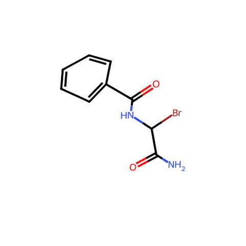 NC(=O)C(Br)NC(=O)c1ccccc1